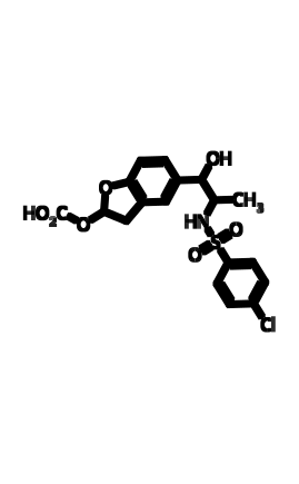 CC(NS(=O)(=O)c1ccc(Cl)cc1)C(O)c1ccc2c(c1)CC(OC(=O)O)O2